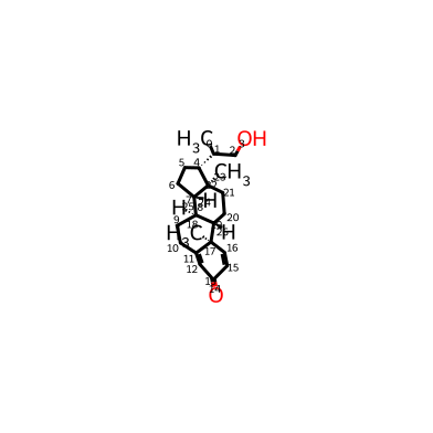 CC(CO)[C@H]1CC[C@H]2[C@@H]3CCC4=CC(=O)C=C[C@]4(C)[C@H]3CC[C@]12C